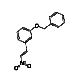 O=[N+]([O-])C=Cc1cccc(OCc2ccccc2)c1